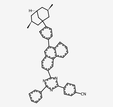 C[C@@H]1C[C@@H]2C[C@H](C)CC(c3ccc(-c4cc5ccc(-c6nc(-c7ccccc7)nc(-c7ccc(C#N)cc7)n6)cc5c5ccccc45)cc3)(C1)C2